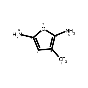 Nc1cc(C(F)(F)F)c(N)o1